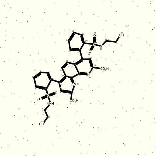 O=C(O)c1cc(-c2ccccc2S(=O)(=O)NCCO)c2ccc3c(-c4ccccc4S(=O)(=O)NCCO)cc(C(=O)O)nc3c2n1